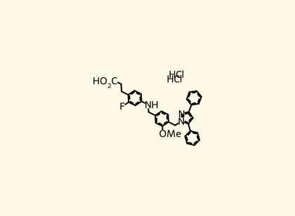 COc1cc(CNc2ccc(CCC(=O)O)c(F)c2)ccc1Cn1nc(-c2ccccc2)cc1-c1ccccc1.Cl.Cl